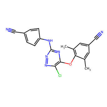 Cc1cc(C#N)cc(C)c1Oc1nc(Nc2ccc(C#N)cc2)nnc1Cl